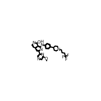 COc1cncc(-c2cc3c(c(Nc4ccc(C5CCN(CCCC(F)(F)F)CC5)cc4)n2)C(=O)[N]C=C3)n1